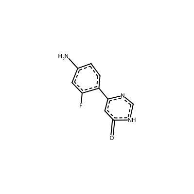 Nc1ccc(-c2cc(=O)[nH]cn2)c(F)c1